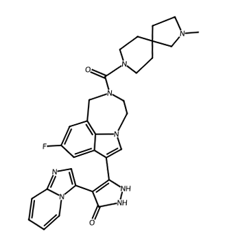 CN1CCC2(CCN(C(=O)N3CCn4cc(-c5[nH][nH]c(=O)c5-c5cnc6ccccn56)c5cc(F)cc(c54)C3)CC2)C1